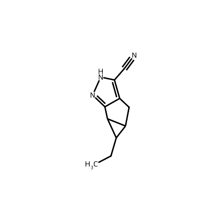 CCC1C2Cc3c(n[nH]c3C#N)C12